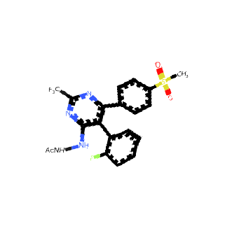 CC(=O)NNc1nc(C(F)(F)F)nc(-c2ccc(S(C)(=O)=O)cc2)c1-c1ccccc1F